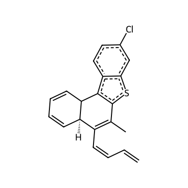 C=C/C=C\C1=C(C)c2sc3cc(Cl)ccc3c2C2C=CC=C[C@H]12